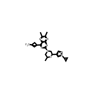 Cc1nc2nc(N3CC(C)OC(c4cnn(C5CC5)c4)C3)nc(C34CC(C(F)(F)F)(C3)C4)c2nc1C